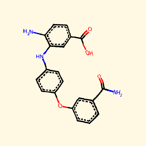 NC(=O)c1cccc(Oc2ccc(Nc3cc(C(=O)O)ccc3N)cc2)c1